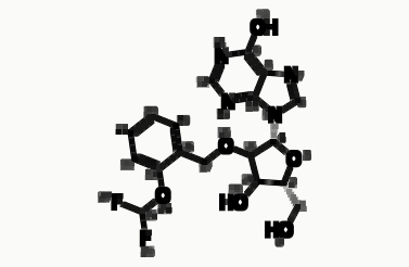 OC[C@H]1O[C@@H](n2cnc3c(O)ncnc32)C(OCc2ccccc2OC(F)F)C1O